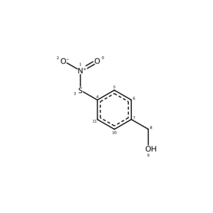 O=[N+]([O-])Sc1ccc(CO)cc1